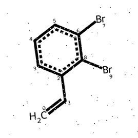 C=[C]c1cccc(Br)c1Br